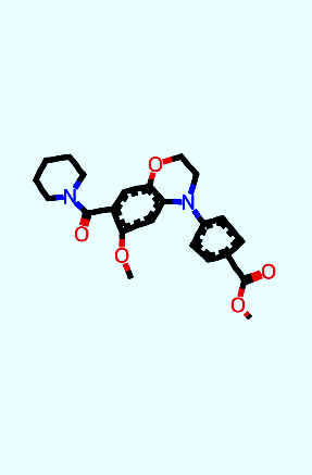 COC(=O)c1ccc(N2CCOc3cc(C(=O)N4CCCCC4)c(OC)cc32)cc1